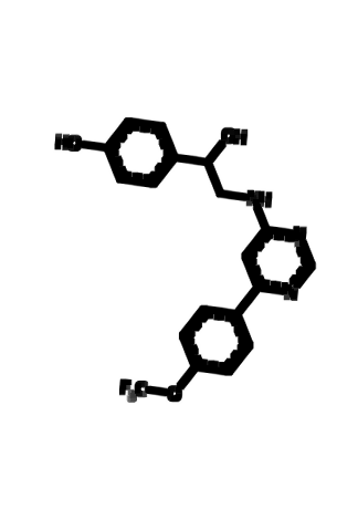 Oc1ccc(C(O)CNc2cc(-c3ccc(OC(F)(F)F)cc3)ncn2)cc1